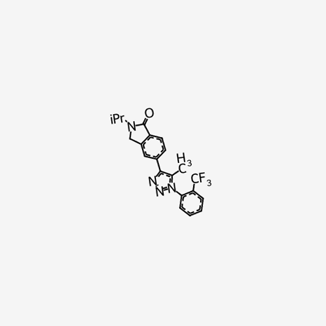 Cc1c(-c2ccc3c(c2)CN(C(C)C)C3=O)nnn1-c1ccccc1C(F)(F)F